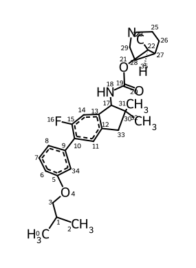 CC(C)COc1cccc(-c2cc3c(cc2F)C(NC(=O)O[C@H]2CN4CCC2CC4)C(C)(C)C3)c1